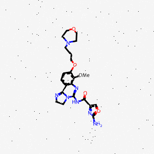 COc1c(OCCCN2CCOCC2)ccc2c1N=C(NC(=O)c1coc(N)n1)N1CCN=C21